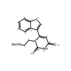 COCCn1c(-c2csc3ccccc23)cc(=O)[nH]c1=S